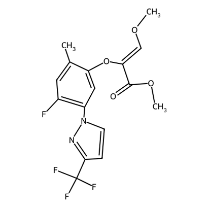 CO/C=C(\Oc1cc(-n2ccc(C(F)(F)F)n2)c(F)cc1C)C(=O)OC